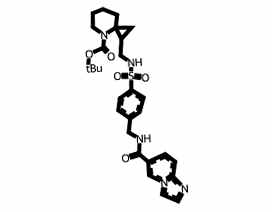 CC(C)(C)OC(=O)N1CCCCC12CC2CNS(=O)(=O)c1ccc(CNC(=O)c2ccc3nccn3c2)cc1